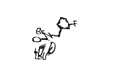 CC(C)(C)OC(=O)N(Br)Cc1cccc(F)c1